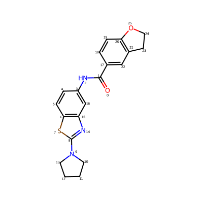 O=C(Nc1ccc2sc(N3CCCC3)nc2c1)c1ccc2c(c1)CCO2